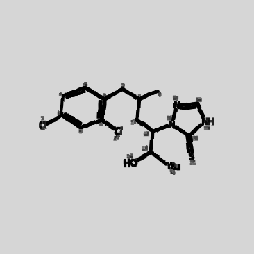 CC(Cc1ccc(Cl)cc1Cl)CC(C(O)C(C)(C)C)n1nc[nH]c1=S